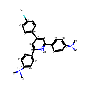 CN(C)c1ccc(-c2cc(-c3ccc(F)cc3)cc(-c3ccc(N(C)C)cc3)n2)cc1